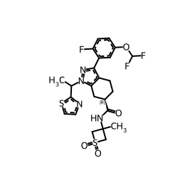 CC(c1nccs1)n1nc(-c2cc(OC(F)F)ccc2F)c2c1C[C@H](C(=O)NC1(C)CS(=O)(=O)C1)CC2